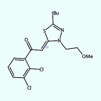 COCCN1N=C(C(C)(C)C)S/C1=C\C(=O)c1cccc(Cl)c1Cl